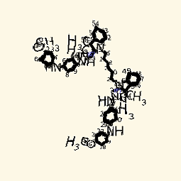 COc1ccc(Nc2ccc(NN/C=C3/N(CCCCCCN4/C(=C/NNc5ccc(Nc6ccc(OC)cc6)cc5)C(C)(C)c5ccccc54)c4ccccc4C3(C)C)cc2)cc1